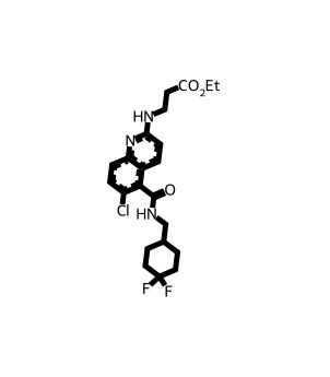 CCOC(=O)CCNc1ccc2c(C(=O)NCC3CCC(F)(F)CC3)c(Cl)ccc2n1